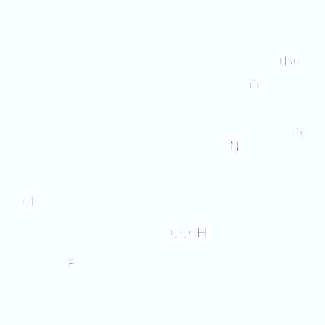 CC(C)(C)OC(=O)N1CCC(C(=O)O)(c2ccc(Cl)c(F)c2)CC1